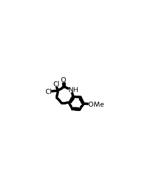 COc1ccc2c(c1)NC(=O)C(Cl)(Cl)CC2